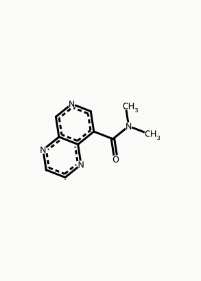 CN(C)C(=O)c1cncc2nc[c]nc12